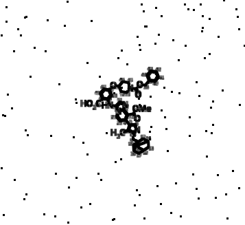 COC(=O)c1c(-c2cnn(CC34CC5CC(CC(C5)C3)C4)c2C)ccn2c(Nc3cc(OC4CCN(C(=O)OCc5ccccc5)CC4)ccc3C(=O)O)cnc12